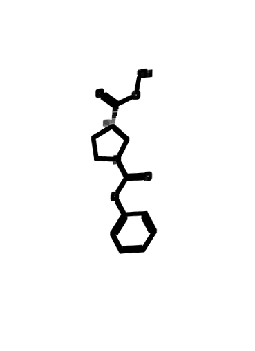 CC(C)(C)OC(=O)[C@H]1CCN(C(=O)Oc2ccccc2)C1